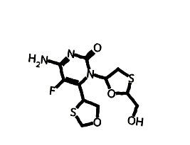 Nc1nc(=O)n(C2CSC(CO)O2)c(C2COCS2)c1F